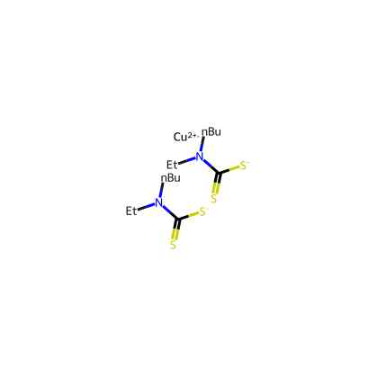 CCCCN(CC)C(=S)[S-].CCCCN(CC)C(=S)[S-].[Cu+2]